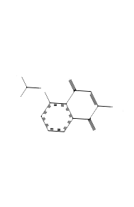 CC1=CC(=O)c2c(OC(C)O)cccc2C1=O